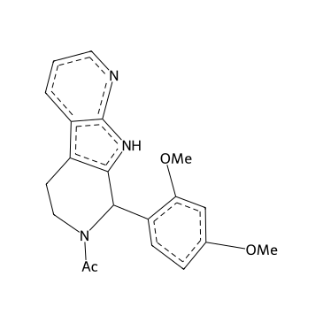 COc1ccc(C2c3[nH]c4ncccc4c3CCN2C(C)=O)c(OC)c1